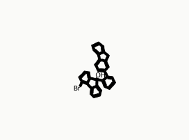 OC1(c2ccccc2-c2ccc3c(c2)Cc2ccccc2-3)c2ccccc2-c2c(Br)cccc21